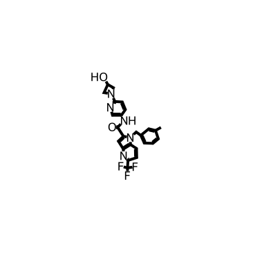 Cc1cccc(Cn2c(C(=O)Nc3ccc(N4CC(O)C4)nc3)cc3nc(C(F)(F)F)ccc32)c1